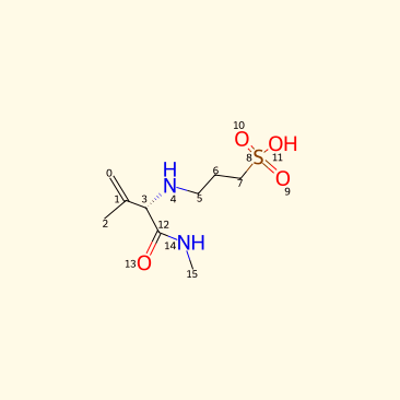 C=C(C)[C@H](NCCCS(=O)(=O)O)C(=O)NC